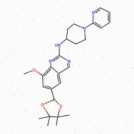 COc1cc(B2OC(C)(C)C(C)(C)O2)cc2cnc(NC3CCN(c4ccccn4)CC3)nc12